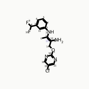 C/C(Nc1cccc(C(F)F)c1)=C(/N)COc1ncc(Cl)cn1